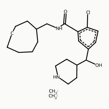 O=C(NC[C]1CCCCCCC1)c1cc(C(O)C2CCNCC2)ccc1Cl.[CH2].[CH2]